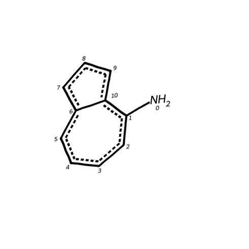 Nc1ccccc2cccc1-2